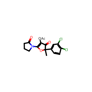 CC(=O)OC1=C(N2CCCC2=O)OC(C)(c2ccc(Cl)c(Cl)c2)C1=O